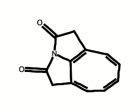 O=C1CC2=CC=CC=CC3=C2N1C(=O)C3